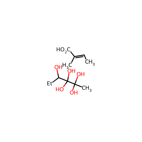 CC=C(C)C(=O)O.CCC(O)C(O)(O)C(C)(O)O